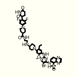 CCc1cc(Nc2ncc(Br)c(Nc3ccc4nccnc4c3P(C)(C)=O)n2)c(OC)cc1N1CCC(NCCNC(=O)C2CCN(c3cc(F)c(C4CCC(=O)NC4=O)c(F)c3)CC2)CC1